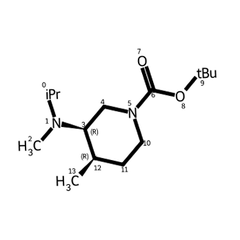 CC(C)N(C)[C@H]1CN(C(=O)OC(C)(C)C)CC[C@H]1C